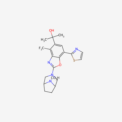 CC(C)(O)c1cc(-c2nccs2)c2oc(N3CC4CCC(C3)N4C(=O)O)nc2c1C(F)(F)F